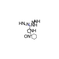 N=C/N=C(/NN=N)c1ccc(C2(N=O)CCCCC2)[nH]1